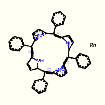 C1=CC2N/C1=C(/c1ccccc1)c1ccc([nH]1)/C(c1ccccc1)=C1/C=CC(N1)/C(c1ccccc1)=c1/cc/c([nH]1)=C/2c1ccccc1.[Rh]